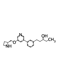 CC[C@H](O)CCc1cccc(-c2cncc(OC[C@@H]3CCN3)c2)c1